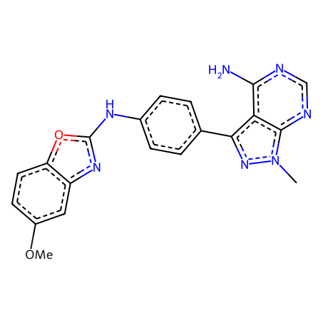 COc1ccc2oc(Nc3ccc(-c4nn(C)c5ncnc(N)c45)cc3)nc2c1